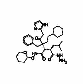 CC(C)C[C@@H](C(=O)NN)[C@H](C(=O)NOC1CCCCO1)C(CCC1CCCCC1)(Cc1ccccc1)C(=O)Cc1ncc[nH]1